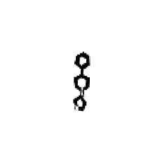 c1ccc(C2CCN([C@@H]3CCOC3)CC2)cc1